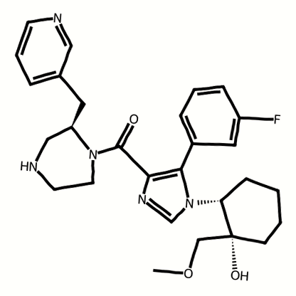 COC[C@]1(O)CCCC[C@H]1n1cnc(C(=O)N2CCNC[C@H]2Cc2cccnc2)c1-c1cccc(F)c1